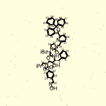 CC[C@H](C)[C@@H](C(=O)N[C@@H](Cc1ccccc1)[C@H](O)CN(CC(C)C)S(=O)(=O)c1ccc(/C=N/O)cc1)N1CCN(Cc2cccc(COC(c3ccccc3)(c3ccccc3)c3ccccc3)n2)C1=O